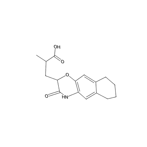 CC(CC1Oc2cc3c(cc2NC1=O)CCCC3)C(=O)O